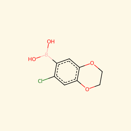 OB(O)c1cc2c(cc1Cl)OCCO2